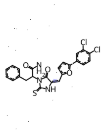 NC(=O)C(Cc1ccccc1)N1C(=O)/C(=C\c2ccc(-c3ccc(Cl)c(Cl)c3)o2)NC1=S